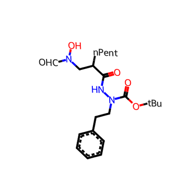 CCCCCC(CN(O)C=O)C(=O)NN(CCc1ccccc1)C(=O)OC(C)(C)C